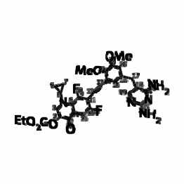 CCOC(=O)Oc1cn(C2CC2)c2c(F)c(C#Cc3cc(Cc4cnc(N)nc4N)cc(OC)c3OC)c(F)cc2c1=O